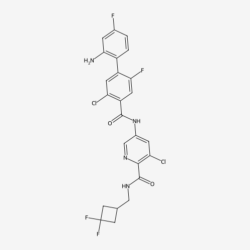 Nc1cc(F)ccc1-c1cc(Cl)c(C(=O)Nc2cnc(C(=O)NCC3CC(F)(F)C3)c(Cl)c2)cc1F